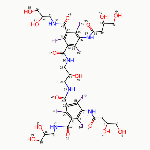 O=C(CC(O)CO)Nc1c(I)c(C(=O)NCC(O)CO)c(I)c(C(=O)NCC(O)CNC(=O)c2c(I)c(NC(=O)CC(O)CO)c(I)c(C(=O)NCC(O)CO)c2I)c1I